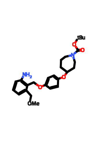 COCc1cccc(N)c1COc1ccc(OC2CCCN(C(=O)OC(C)(C)C)CC2)cc1